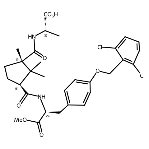 COC(=O)[C@H](Cc1ccc(OCc2c(Cl)cccc2Cl)cc1)NC(=O)[C@H]1CC[C@](C)(C(=O)N[C@@H](C)C(=O)O)C1(C)C